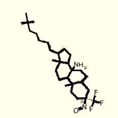 CC(C)(C)CCCCCC1CCC2C1(C)CCC1C3(C)CC[C@@](N=O)(C(F)(F)F)CC3CCC21N